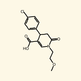 COCCN1C=C(C(=O)O)C(c2ccc(Cl)cc2)CC1=O